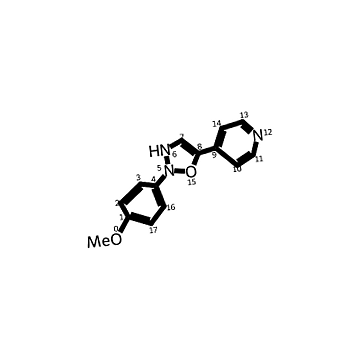 COc1ccc(N2NC=C(c3ccncc3)O2)cc1